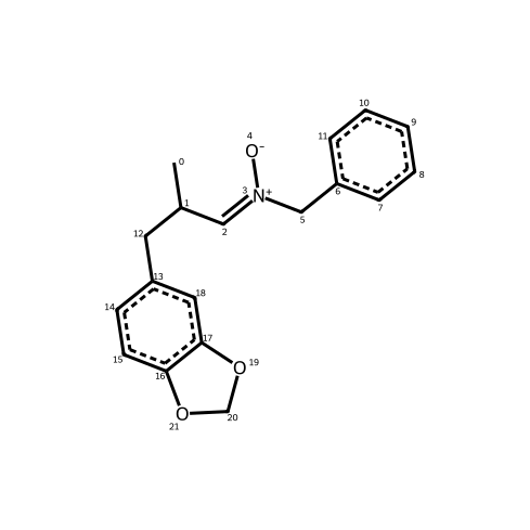 CC(C=[N+]([O-])Cc1ccccc1)Cc1ccc2c(c1)OCO2